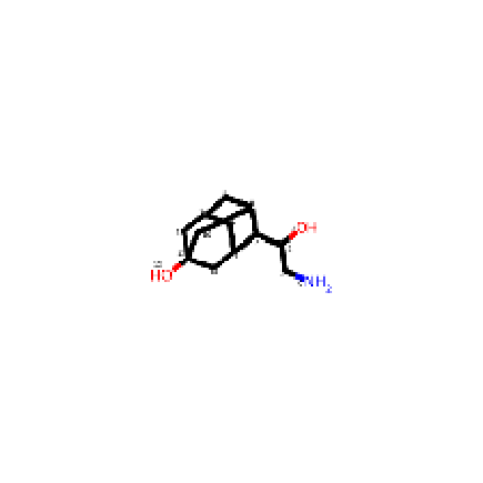 NCC(O)C1C2CC3CC1CC(O)(C3)C2